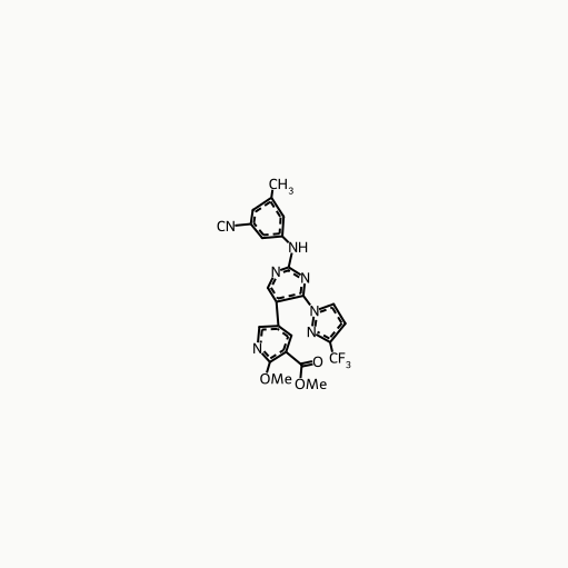 [C-]#[N+]c1cc(C)cc(Nc2ncc(-c3cnc(OC)c(C(=O)OC)c3)c(-n3ccc(C(F)(F)F)n3)n2)c1